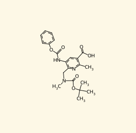 Cc1nc(CN(C)C(=O)OC(C)(C)C)c(NC(=O)Oc2ccccc2)cc1C(=O)O